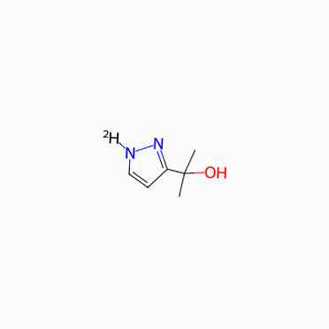 [2H]n1ccc(C(C)(C)O)n1